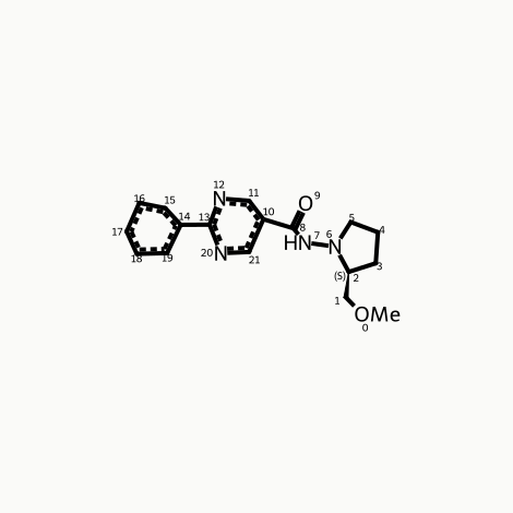 COC[C@@H]1CCCN1NC(=O)c1cnc(-c2ccccc2)nc1